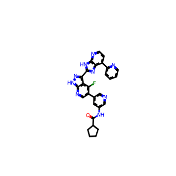 O=C(Nc1cncc(-c2cnc3[nH]nc(-c4nc5c(-c6ccccn6)ccnc5[nH]4)c3c2F)c1)C1CCCC1